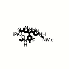 C=CC(=O)Nc1cc(-c2c(-c3ccc(NCCNC)nc3)[nH]c3ncc(C(=O)OC(C)C)cc23)cc(F)c1C